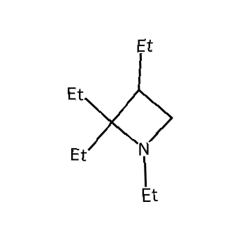 CCC1CN(CC)C1(CC)CC